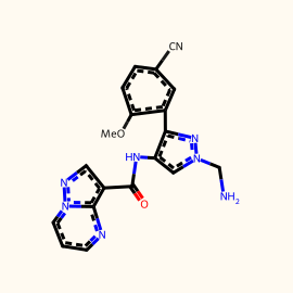 COc1ccc(C#N)cc1-c1nn(CN)cc1NC(=O)c1cnn2cccnc12